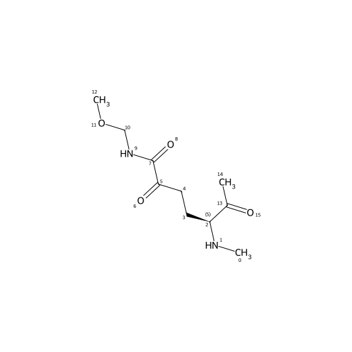 CN[C@@H](CCC(=O)C(=O)NCOC)C(C)=O